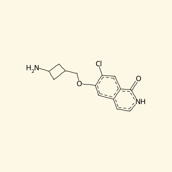 NC1CC(COc2cc3cc[nH]c(=O)c3cc2Cl)C1